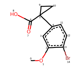 COc1cc(C2(C(=O)O)CC2)ccc1Br